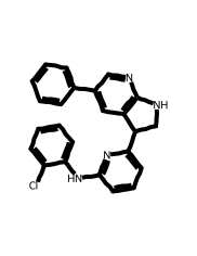 Clc1ccccc1Nc1cccc(C2CNc3ncc(-c4ccccc4)cc32)n1